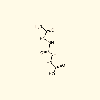 NC(=O)NNC(=O)NNC(=O)O